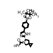 CCCC(=O)N1CC2(CC2)C[C@H]1c1ncc(-c2ccc(B3OC(C)(C)C(C)(C)O3)cc2)[nH]1